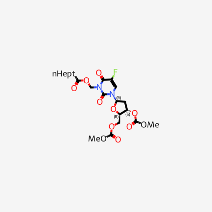 CCCCCCCC(=O)OCn1c(=O)c(F)cn([C@H]2C[C@H](OC(=O)OC)[C@@H](COC(=O)OC)O2)c1=O